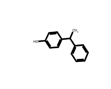 C[C](c1ccccc1)c1ccc(O)cc1